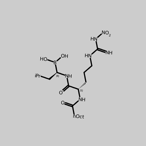 CCCCCCCCC(=O)N[C@@H](CCCNC(=N)N[N+](=O)[O-])C(=O)N[C@@H](CC(C)C)B(O)O